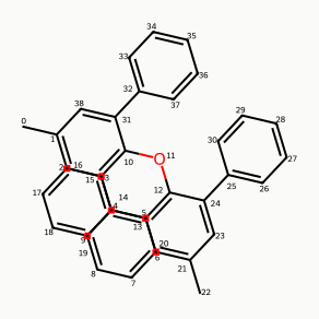 Cc1cc(-c2ccccc2)c(Oc2c(-c3ccccc3)cc(C)cc2-c2ccccc2)c(-c2ccccc2)c1